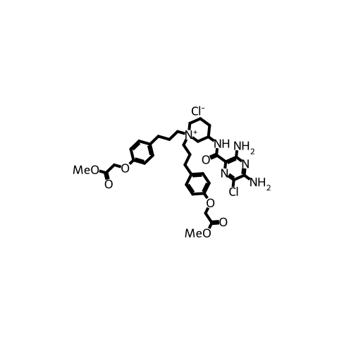 COC(=O)COc1ccc(CCC[N+]2(CCCc3ccc(OCC(=O)OC)cc3)CCCC(NC(=O)c3nc(Cl)c(N)nc3N)C2)cc1.[Cl-]